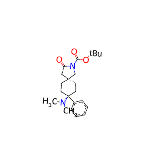 CN(C)[C@]1(c2ccccc2)CC[C@]2(CC1)CC(=O)N(C(=O)OC(C)(C)C)C2